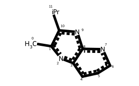 Cc1nc2cccnc2nc1C(C)C